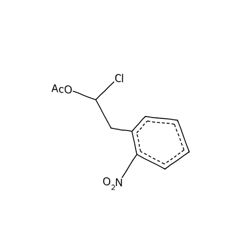 CC(=O)OC(Cl)Cc1ccccc1[N+](=O)[O-]